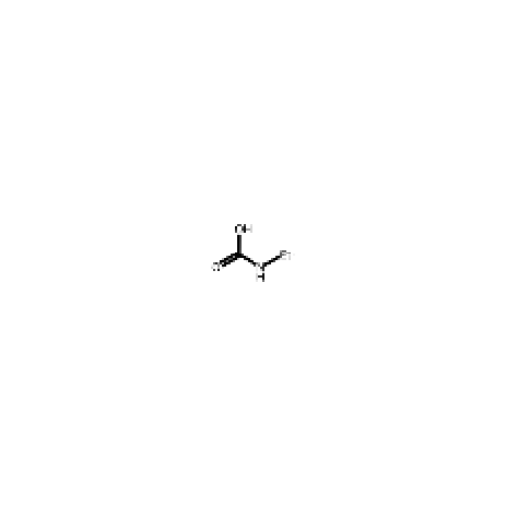 C[CH]NC(=O)O